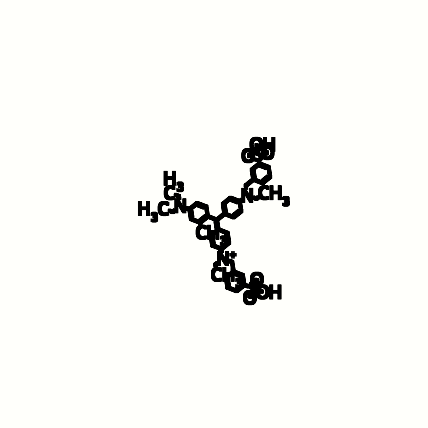 CCN(CC)c1ccc(C(=C2C=CC(=[N+](CC)Cc3cccc(S(=O)(=O)O)c3)C=C2)c2ccc(N(CC)Cc3cccc(S(=O)(=O)O)c3)cc2)c(C)c1